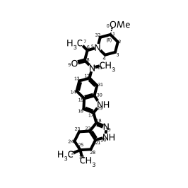 CO[C@@H]1CCCN(C(C)C(=O)N(C)c2ccc3cc(-c4n[nH]c5c4CCC(C)(C)C5)[nH]c3c2)C1